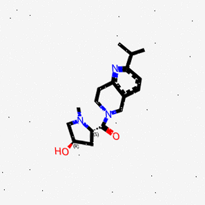 CC(C)c1ccc2c(n1)CCN(C(=O)[C@@H]1C[C@@H](O)CN1C)C2